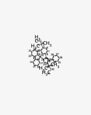 CCC(C)(C)c1ccc2c(c1)C(c1ccccc1)(c1ccccc1)c1cc(C(C)(C)CC)n(-c3ccccc3)c1-2